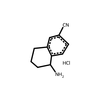 Cl.N#Cc1ccc2c(c1)CCCC2N